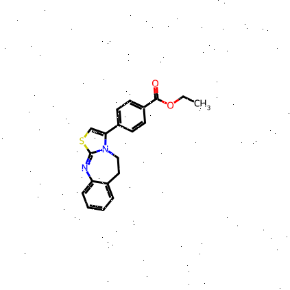 CCOC(=O)c1ccc(C2=CSC3=Nc4ccccc4CCN23)cc1